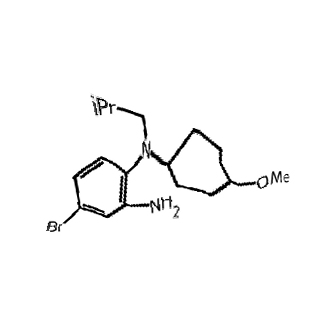 COC1CCC(N(CC(C)C)c2ccc(Br)cc2N)CC1